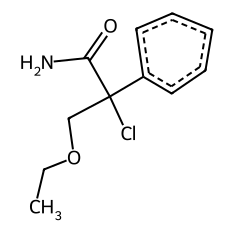 CCOCC(Cl)(C(N)=O)c1ccccc1